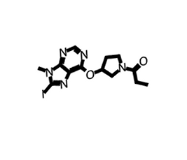 CCC(=O)N1CCC(Oc2ncnc3c2nc(I)n3C)C1